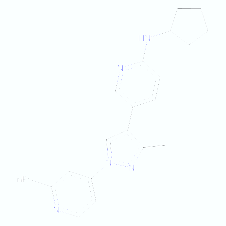 CCCc1cc(-n2cc(-c3ccc(NC4CCCC4)nc3)c(C)n2)ccn1